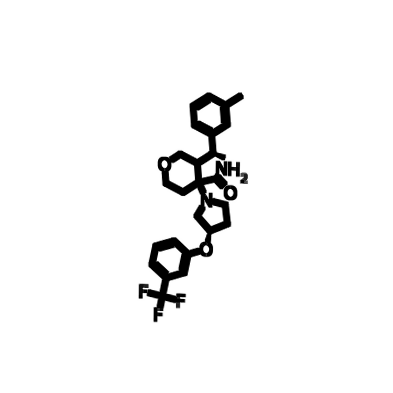 Cc1cccc([C@@H](C)C2COCCC2(C(N)=O)N2CC[C@@H](Oc3cccc(C(F)(F)F)c3)C2)c1